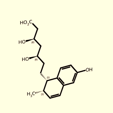 C[C@H]1C=Cc2cc(O)ccc2[C@H]1CC[C@@H](O)C[C@@H](O)CC(=O)O